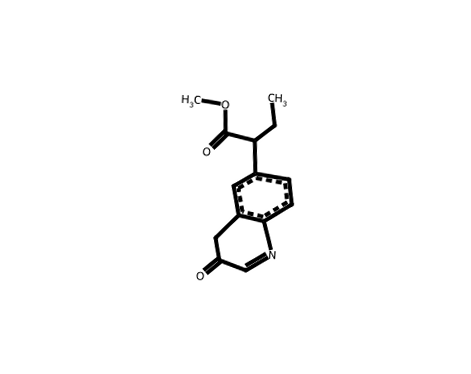 CCC(C(=O)OC)c1ccc2c(c1)CC(=O)C=N2